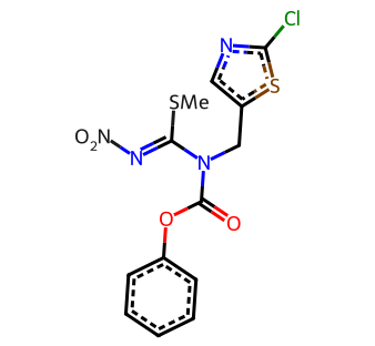 CSC(=N[N+](=O)[O-])N(Cc1cnc(Cl)s1)C(=O)Oc1ccccc1